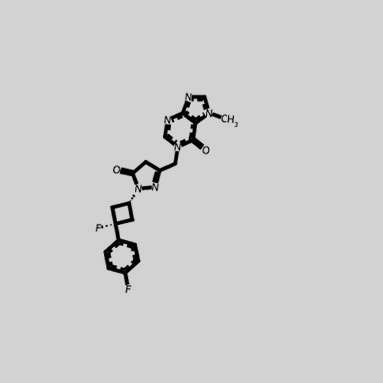 Cn1cnc2ncn(CC3=NN([C@H]4C[C@](F)(c5ccc(F)cc5)C4)C(=O)C3)c(=O)c21